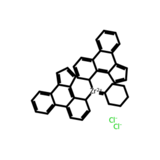 C1=Cc2c3c(c4ccccc4c2=C1)=CC=C[CH]3[Zr+2](=[C]1CCCCC1)[CH]1C=CC=c2c1c1c(c3ccccc23)=CC=C1.[Cl-].[Cl-]